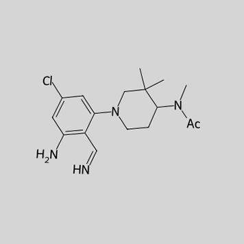 CC(=O)N(C)C1CCN(c2cc(Cl)cc(N)c2C=N)CC1(C)C